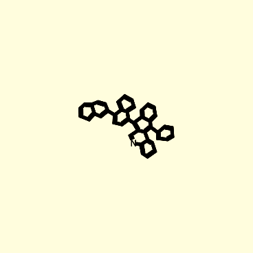 c1ccc(-c2c3ccccc3c(-c3ccc(-c4ccc5ccccc5c4)c4ccccc34)c3cnc4ccccc4c23)cc1